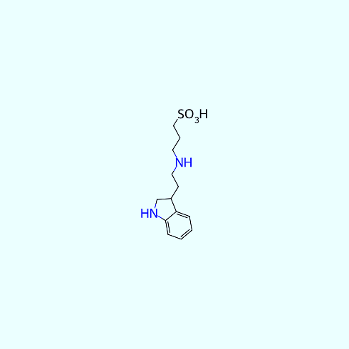 O=S(=O)(O)CCCNCCC1CNc2ccccc21